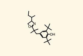 CCC(C)C1COC(C(C)(C)Cc2cc(C(C)(C)C)c(O)c(C(C)(C)C)c2)=N1